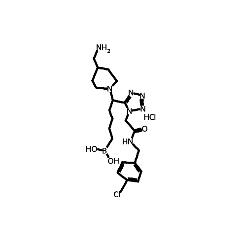 Cl.NCC1CCN(C(CCCCB(O)O)c2nnnn2CC(=O)NCc2ccc(Cl)cc2)CC1